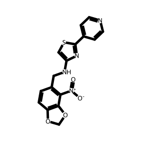 O=[N+]([O-])c1c(CNc2csc(-c3ccncc3)n2)ccc2c1OCO2